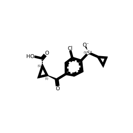 O=C(O)[C@H]1C[C@@H]1C(=O)c1ccc([S@+]([O-])C2CC2)c(Cl)c1